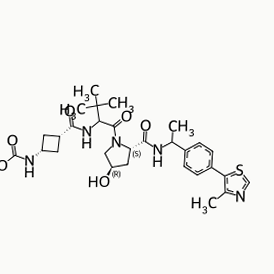 Cc1ncsc1-c1ccc(C(C)NC(=O)[C@@H]2C[C@@H](O)CN2C(=O)C(NC(=O)[C@H]2C[C@@H](NC(=O)O)C2)C(C)(C)C)cc1